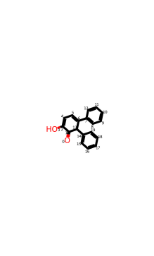 O=C1C(O)=CC=C(c2ccccc2)C1c1ccccc1